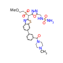 COCCS(=O)(=O)C(c1nnc(CNS(N)(=O)=O)o1)c1nc2ccc(-c3cccc(C(=O)N4CCN(C)CC4)c3)cc2s1